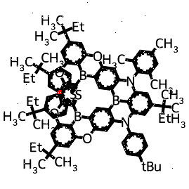 CCC(C)(C)c1cc2c3c(c1)Oc1c(sc4ccc(C(C)(C)CC)cc14)B3c1cc3c(cc1O2)N(c1ccc(C(C)(C)C)cc1)c1cc(C(C)(C)CC)cc2c1B3c1cc3c(cc1N2c1c(C)cc(C)cc1C)Oc1cc(C(C)(C)CC)cc2c1B3c1sc3ccc(C(C)(C)CC)cc3c1O2